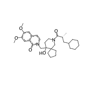 COc1cc2ccn(CC3(O)CCN(C(=O)[C@H](C)CC4CCCCC4)CC34CCCC4)c(=O)c2cc1OC